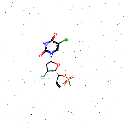 C=CC(OS(C)(=O)=O)[C@H]1O[C@@H](n2cc(Br)c(=O)[nH]c2=O)C[C@@H]1Cl